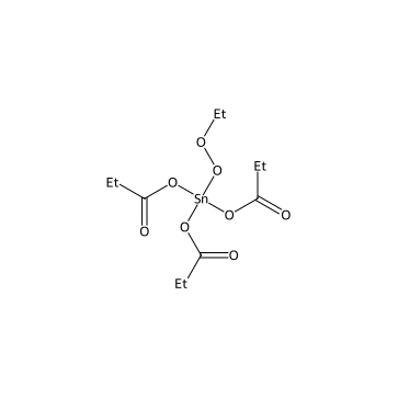 CCO[O][Sn]([O]C(=O)CC)([O]C(=O)CC)[O]C(=O)CC